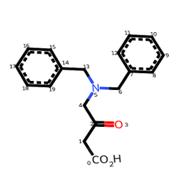 O=C(O)CC(=O)CN(Cc1ccccc1)Cc1ccccc1